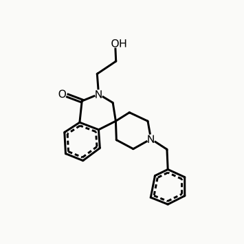 O=C1c2ccccc2C2(CCN(Cc3ccccc3)CC2)CN1CCO